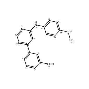 O=Cc1cccc(-c2cc(Nc3ccc(OC(F)(F)F)cc3)ncn2)c1